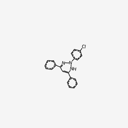 Clc1ccc(N2N=C(c3ccccc3)C=C(c3ccccc3)N2)cc1